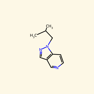 CC(C)Cn1ncc2cnccc21